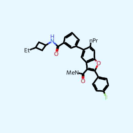 CCCc1cc2oc(-c3ccc(F)cc3)c(C(=O)NC)c2cc1-c1cccc(C(=O)NC2CC(CC)C2)c1